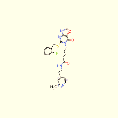 C=C/C=C(\C=C/N)CCNC(=O)CCCCn1c(SCc2ccccc2F)nc2ncoc2c1=O